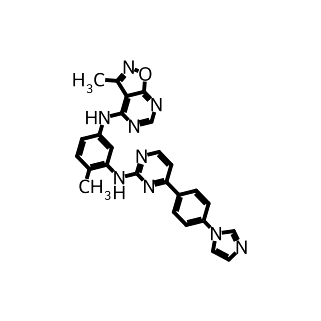 Cc1ccc(Nc2ncnc3onc(C)c23)cc1Nc1nccc(-c2ccc(-n3ccnc3)cc2)n1